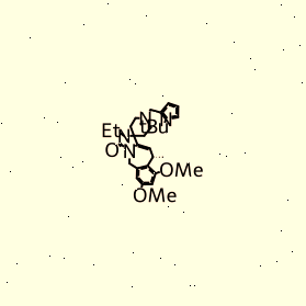 CCN1C(=O)N2Cc3cc(OC)cc(OC)c3[C@@H](C)C=C2C12CCN(Cc1cccn1C(C)(C)C)CC2